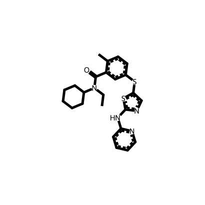 CCN(C(=O)c1cc(Sc2cnc(Nc3ccccn3)s2)ccc1C)C1CCCCC1